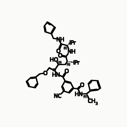 CC(C)[C@H](C[C@H](O)[C@H](COCc1ccccc1)NC(=O)c1cc(C#N)cc(C(=O)N[C@H](C)c2ccccc2)c1)C(=O)N[C@H](C(=O)NCc1ccccc1)C(C)C